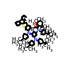 CC(C)(C)c1ccc(N(C2=CCC(C(C)(C)C)C=C2)c2cc3c4c(c2)N(c2ccc(C(C)(C)C)cc2)c2c(oc5c2C(C)(C)CCC5(C)C)B4c2cc4c(cc2N3C2=CCC(C(C)(C)C)C=C2)SC2(C4)c3ccccc3-c3ccccc32)cc1